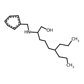 CCCC(CCC)CCCC(CO)NCc1ccccc1